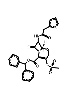 CS(=O)(=O)OC1=C(C(=O)OC(c2ccccc2)c2ccccc2)N2C(=O)C(NC(=O)Cc3cccs3)[C@@H]2SC1